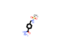 CS(=O)(=O)NCc1ccc(C(=O)NN)cc1